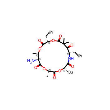 CCC(C)[C@@H]1OC(=O)[C@H](C)OC(=O)[C@@H](N)[C@@H](C)OC(=O)[C@H](CC(C)C)OC(=O)C(C)(C)C(=O)[C@H](CC(C)C)NC1=O